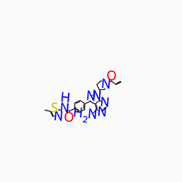 C=CC(=O)N1CC[C@@H](n2nc(-c3ccc(C(=O)Nc4ncc(C)s4)cc3)c3c(N)ncnc32)C1